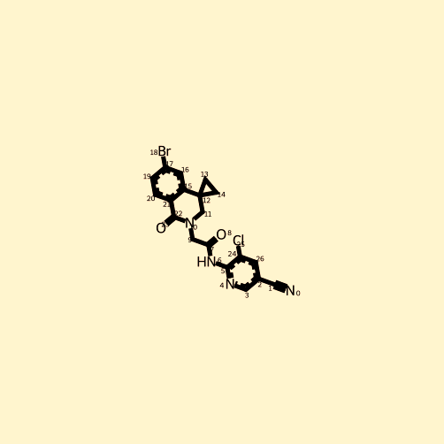 N#Cc1cnc(NC(=O)CN2CC3(CC3)c3cc(Br)ccc3C2=O)c(Cl)c1